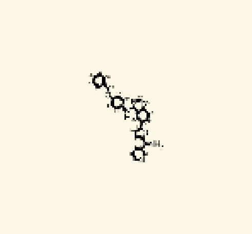 NC(c1cccnc1)c1ccc(-c2ccc3ncnc(Nc4ccc(OCc5ccccc5)cc4)c3c2)o1